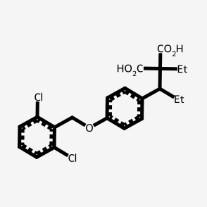 CCC(c1ccc(OCc2c(Cl)cccc2Cl)cc1)C(CC)(C(=O)O)C(=O)O